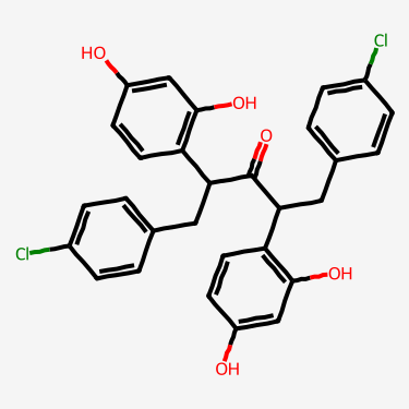 O=C(C(Cc1ccc(Cl)cc1)c1ccc(O)cc1O)C(Cc1ccc(Cl)cc1)c1ccc(O)cc1O